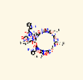 CCCCCCCCCC(=O)NC(Cc1c[nH]c2ccccc12)C(=O)NC(CC(N)=O)C(=O)NC(CC(=O)O)C(=O)NC1C(=O)NCC(=O)NC(CCCC)C(=O)NC(CC(=O)O)C(=O)NC(C)C(=O)NC(CC(=O)O)C(=O)NCC(=O)NC(CO)C(=O)NC(C(C)CC(=O)O)C(=O)NC(CC(=O)c2ccccc2N)C(=O)OC1C